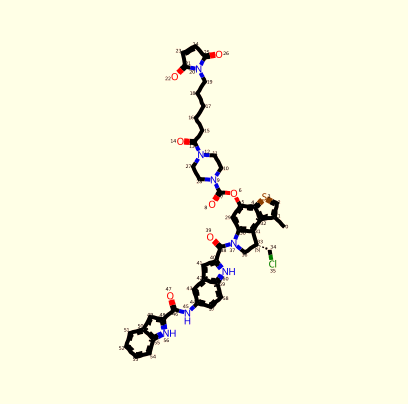 Cc1csc2c(OC(=O)N3CCN(C(=O)CCCCCN4C(=O)C=CC4=O)CC3)cc3c(c12)[C@H](CCl)CN3C(=O)c1cc2cc(NC(=O)c3cc4ccccc4[nH]3)ccc2[nH]1